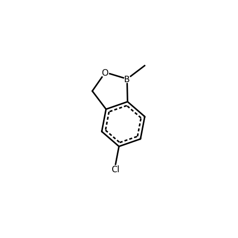 CB1OCc2cc(Cl)ccc21